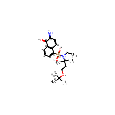 CCN(C(C)(C)CCOC(C)(C)C)S(=O)(=O)c1cccc2c1C=CC(=N)C2=O